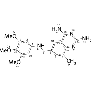 COc1cc(NCc2cc(C)c3nc(N)nc(N)c3c2)cc(OC)c1OC